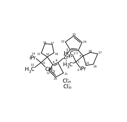 CC(C)C(C)(C)C1(C2=[C]([Zr+2][C]3=C(C4(C(C)(C)C(C)C)CCCC4)C=CC3)CC=C2)CCCC1.[Cl-].[Cl-]